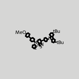 COc1ccc(-c2ccc(N(c3ccccc3)c3ccc(-c4ccc(-n5c6ccc(C(C)(C)C)cc6c6cc(C(C)(C)C)ccc65)cc4)c4nsnc34)cc2)cc1